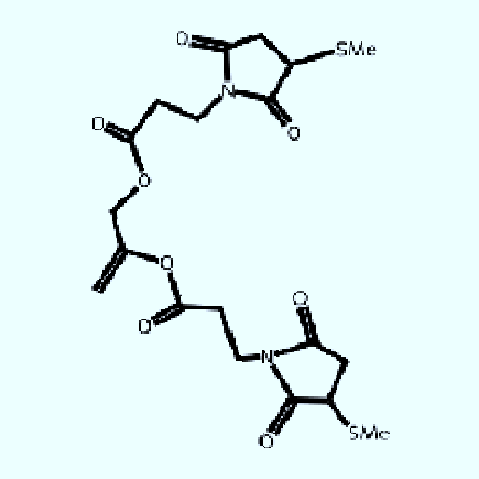 C=C(COC(=O)CCN1C(=O)CC(SC)C1=O)OC(=O)CCN1C(=O)CC(SC)C1=O